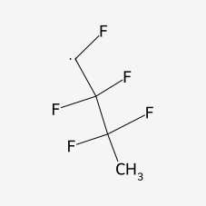 CC(F)(F)C(F)(F)[CH]F